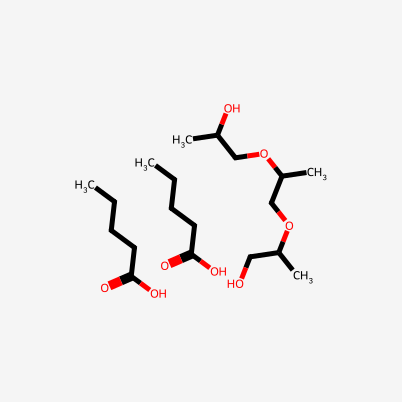 CC(O)COC(C)COC(C)CO.CCCCC(=O)O.CCCCC(=O)O